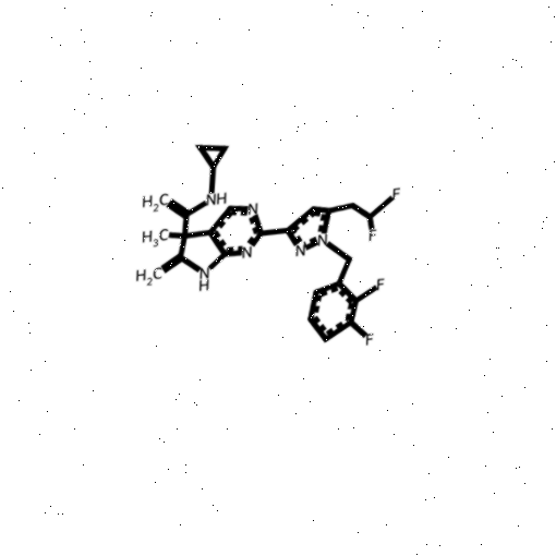 C=C1Nc2nc(-c3cc(CC(F)F)n(Cc4cccc(F)c4F)n3)ncc2C1(C)C(=C)NC1CC1